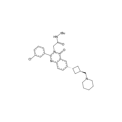 CC(C)(C)NC(=O)Cn1c(-c2cccc(Cl)c2)nc2ccc([C@H]3C[C@H](CN4CCCCC4)C3)cc2c1=O